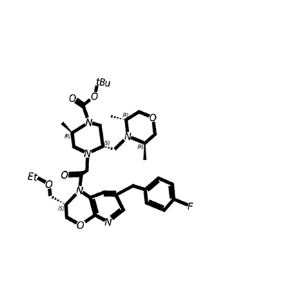 CCOC[C@H]1COc2ncc(Cc3ccc(F)cc3)cc2N1C(=O)CN1C[C@@H](C)N(C(=O)OC(C)(C)C)C[C@@H]1CN1[C@H](C)COC[C@H]1C